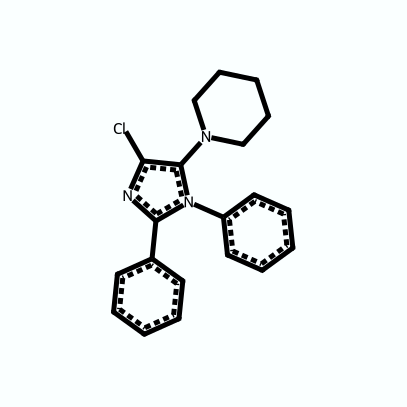 Clc1nc(-c2ccccc2)n(-c2ccccc2)c1N1CCCCC1